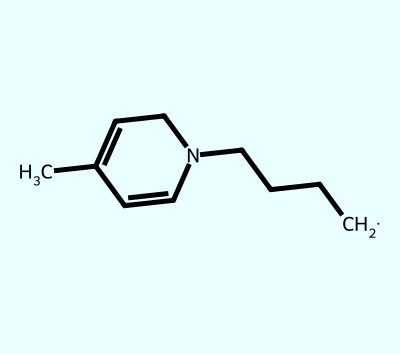 [CH2]CCCN1C=CC(C)=CC1